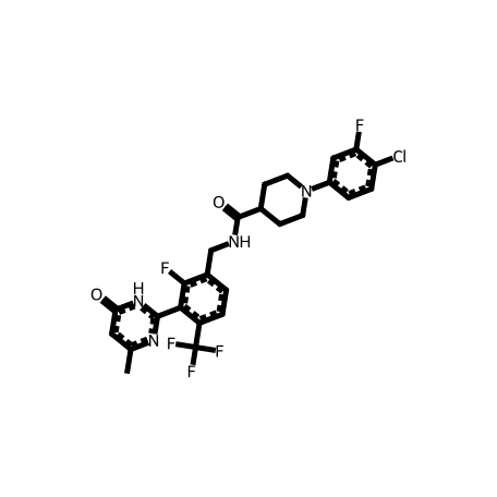 Cc1cc(=O)[nH]c(-c2c(C(F)(F)F)ccc(CNC(=O)C3CCN(c4ccc(Cl)c(F)c4)CC3)c2F)n1